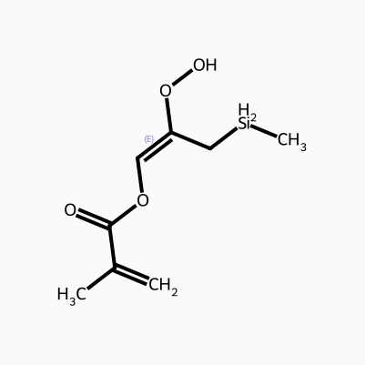 C=C(C)C(=O)O/C=C(\C[SiH2]C)OO